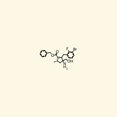 C[C@@H]1CC(N)(CO)C(Cc2cccc(Br)c2F)N1C(=O)OCc1ccccc1